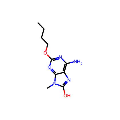 CCCCOc1nc(N)c2nc(O)n(C)c2n1